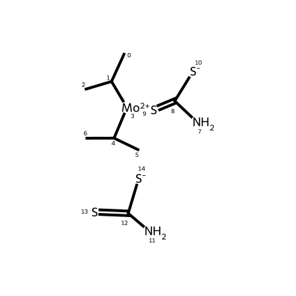 C[CH](C)[Mo+2][CH](C)C.NC(=S)[S-].NC(=S)[S-]